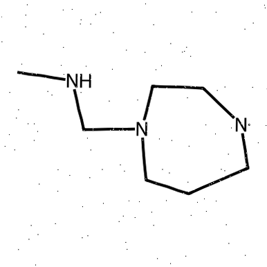 CNCN1CCC[N]CC1